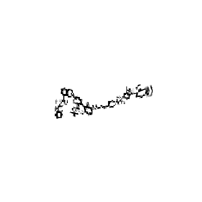 Cc1c(OCCCC2CCN(C(C)(C)C(=O)Nc3ccc4c(C5CCC(=O)NC5=O)nn(C)c4c3)CC2)cccc1-c1ccc(N2CCc3cccc(C(=O)Nc4nc5ccccc5s4)c3C2)nc1C(=O)OC(C)(C)C